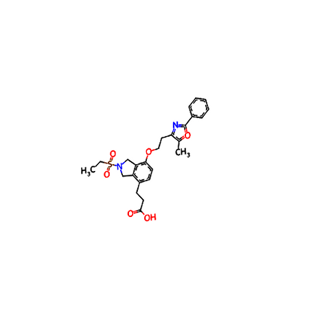 CCS(=O)(=O)N1Cc2c(CCC(=O)O)ccc(OCCc3nc(-c4ccccc4)oc3C)c2C1